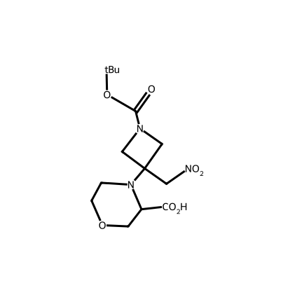 CC(C)(C)OC(=O)N1CC(C[N+](=O)[O-])(N2CCOCC2C(=O)O)C1